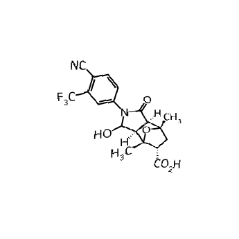 C[C@@]12O[C@@](C)(C[C@@H]1C(=O)O)[C@@H]1C(=O)N(c3ccc(C#N)c(C(F)(F)F)c3)C(O)[C@@H]12